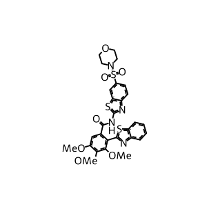 COc1cc(C(=O)Nc2nc3ccc(S(=O)(=O)N4CCOCC4)cc3s2)c(-c2nc3ccccc3s2)c(OC)c1OC